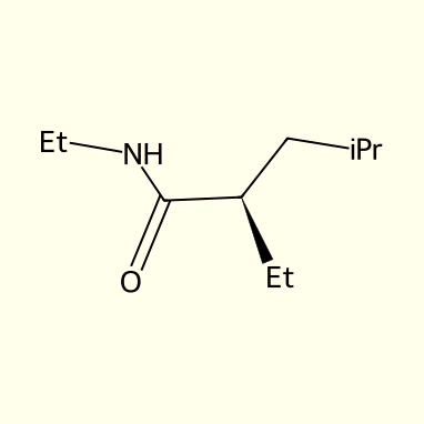 CCNC(=O)[C@H](CC)CC(C)C